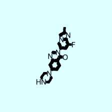 Cc1cn2cc(-n3cnc4cc(N5CCNCC5)ccc4c3=O)cc(F)c2n1